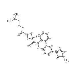 CN(C)CCCC(=O)N1CC(F)(C(=O)N(Cc2ccc(-c3nnc(C(F)(F)F)o3)cn2)c2ccccc2)C1